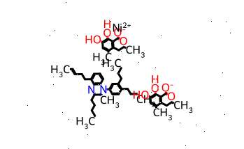 CC=CCCc1ccccc1N=C(CCCCC)C(C)=Nc1ccc(CCCC)c(CCCC)c1.CCCc1c(C)cc(O)c(O)c1C(=O)[O-].CCCc1c(C)cc(O)c(O)c1C(=O)[O-].[Ni+2]